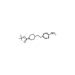 CC(C)(C)OC(=O)N1CCC(CCc2ccc(N)cc2)CC1